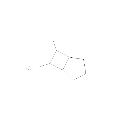 CCC1C2CCCC2C1SC